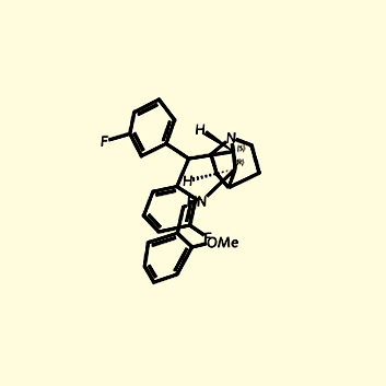 COc1ccccc1CN[C@@H]1C2CCN(CC2)[C@H]1C(c1cccc(F)c1)c1cccc(F)c1